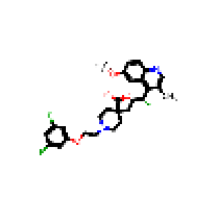 COc1ccc2ncc(C)c([C@H](F)CCC3(C(=O)O)CCN(CCOc4cc(F)cc(F)c4)CC3)c2c1